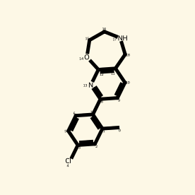 Cc1cc(Cl)ccc1-c1ccc2c(n1)OCCNC2